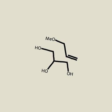 C=CCOC.OCC(O)CO